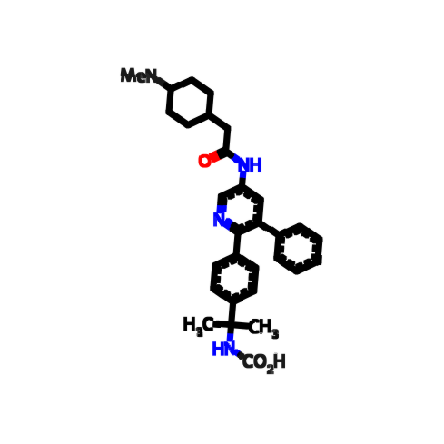 CNC1CCC(CC(=O)Nc2cnc(-c3ccc(C(C)(C)NC(=O)O)cc3)c(-c3ccccc3)c2)CC1